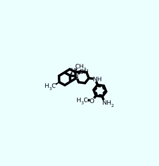 COc1cc(NC2CCN([C@H]3C4C[C@H](C)CC3C[C@@](C)(O)C4)CC2)ccc1N